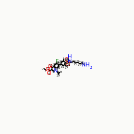 CCOC(=O)c1cn(C2CC2)c2cc(-c3cc(C)c(S(=O)(=O)NCCCCCCN)c(C)c3)c(F)cc2c1=O